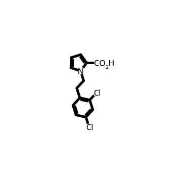 O=C(O)c1cccn1CCc1ccc(Cl)cc1Cl